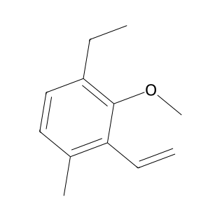 C=Cc1c(C)ccc(CC)c1OC